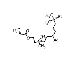 C=CC(=O)OCC[N+](C)(C)CCN(CCC[N+](C)(C)CC)C(C)=O